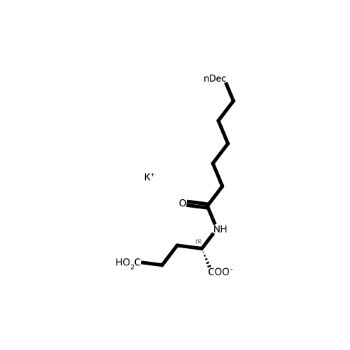 CCCCCCCCCCCCCCCC(=O)N[C@@H](CCC(=O)O)C(=O)[O-].[K+]